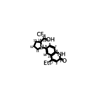 CCc1cc(=O)[nH]c2ccc(N3CCCC3[C@@H](O)C(F)(F)F)cc12